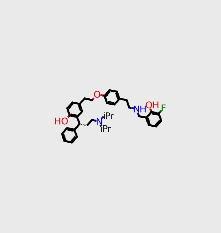 CC(C)N(CC[C@H](c1ccccc1)c1cc(CCOc2ccc(CCNCc3cccc(F)c3O)cc2)ccc1O)C(C)C